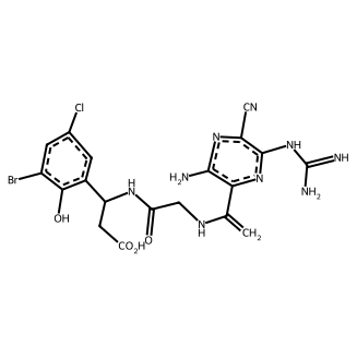 C=C(NCC(=O)NC(CC(=O)O)c1cc(Cl)cc(Br)c1O)c1nc(NC(=N)N)c(C#N)nc1N